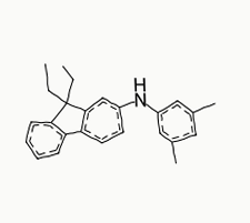 CCC1(CC)c2ccccc2-c2ccc(Nc3cc(C)cc(C)c3)cc21